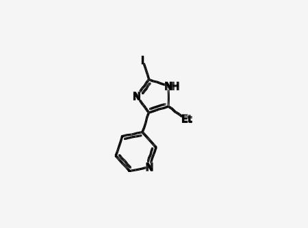 CCc1[nH]c(I)nc1-c1cccnc1